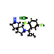 CC(c1cc(F)ccc1F)N1CCC2(CCNC2)C1.Cl